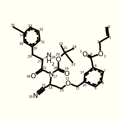 C=CCOC(=O)c1cccc(COCC(C#N)N(C(=O)OC(C)(C)C)C(=O)[C@@H](N)Cc2cccc(C)c2)c1